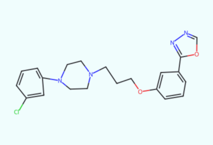 Clc1cccc(N2CCN(CCCOc3cccc(-c4nnco4)c3)CC2)c1